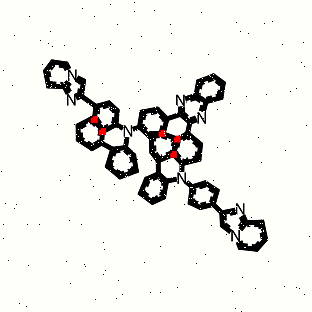 c1ccc(-c2ccccc2N(c2ccc(-c3cn4ccccc4n3)cc2)c2ccc(-c3nc4ccccc4nc3-c3ccc(N(c4ccc(-c5cn6ccccc6n5)cc4)c4ccccc4-c4ccccc4)cc3)cc2)cc1